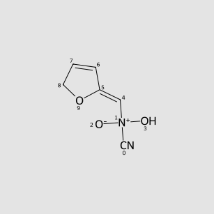 N#C[N+]([O-])(O)C=C1C=CCO1